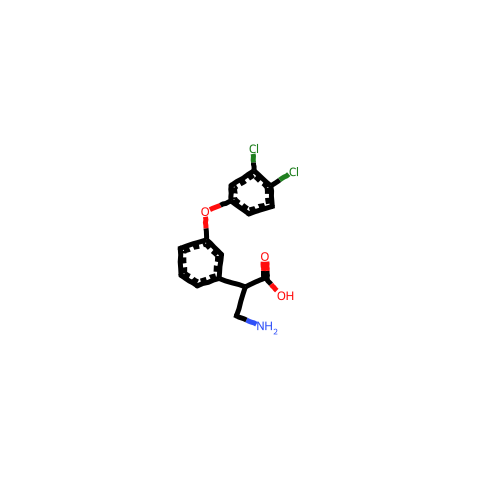 NCC(C(=O)O)c1cccc(Oc2ccc(Cl)c(Cl)c2)c1